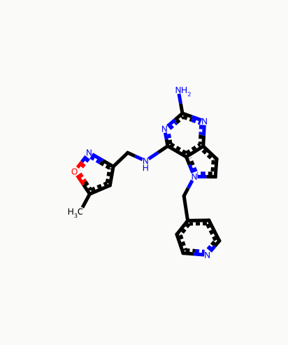 Cc1cc(CNc2nc(N)nc3ccn(Cc4ccncc4)c23)no1